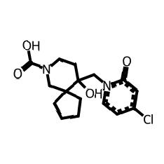 O=C(O)N1CCC(O)(Cn2ccc(Cl)cc2=O)C2(CCCC2)C1